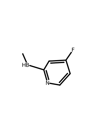 CBc1cc(F)ccn1